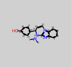 CN(C)N1c2nc3ccccc3n2C=CC1c1ccc(O)cc1